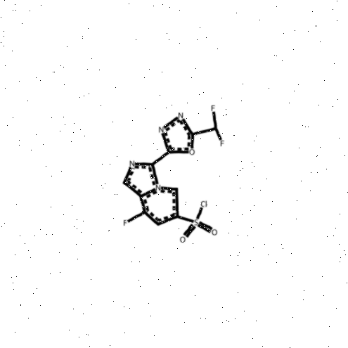 O=S(=O)(Cl)c1cc(F)c2cnc(-c3nnc(C(F)F)o3)n2c1